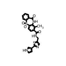 Cc1c(C(=O)NCc2cnc(-c3cc[nH]c3)s2)ccc2c1NC(=O)c1ccccc1S2(=O)=O